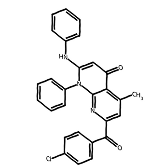 Cc1cc(C(=O)c2ccc(Cl)cc2)nc2c1c(=O)cc(Nc1ccccc1)n2-c1ccccc1